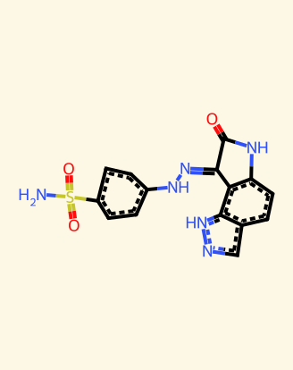 NS(=O)(=O)c1ccc(N/N=C2/C(=O)Nc3ccc4cn[nH]c4c32)cc1